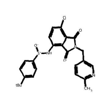 Cc1ccc(CN2C(=O)c3c(Cl)ccc(N[S+]([O-])c4ccc(C(C)(C)C)cc4)c3C2=O)cn1